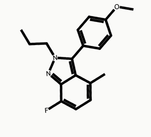 CCCn1nc2c(F)ccc(C)c2c1-c1ccc(OC)cc1